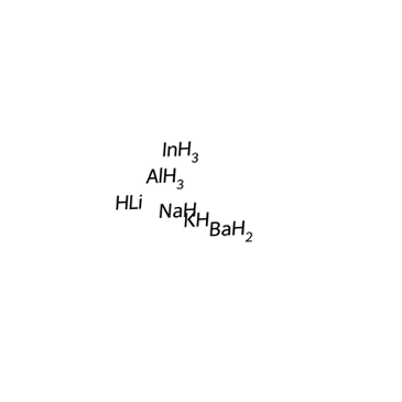 [AlH3].[BaH2].[InH3].[KH].[LiH].[NaH]